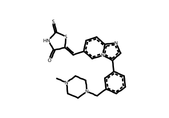 CN1CCN(Cc2cccc(-c3cnc4ccc(/C=C5\SC(=S)NC5=O)cn34)c2)CC1